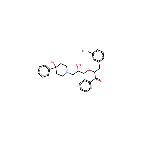 Cc1cccc(CC(OCC(O)CN2CCC(O)(c3ccccc3)CC2)C(=O)c2ccccc2)c1